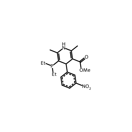 CCP(CC)C1=C(C)NC(C)=C(C(=O)OC)C1c1cccc([N+](=O)[O-])c1